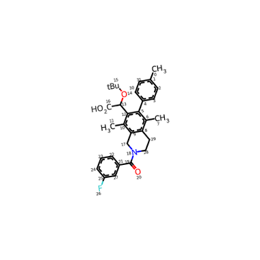 Cc1ccc(-c2c(C)c3c(c(C)c2C(OC(C)(C)C)C(=O)O)CN(C(=O)c2cccc(F)c2)CC3)cc1